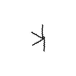 CCCCCCCCCCCc1ccc(CCCCCCCCCCC)c(CCCCCCCCCCC)c1CCCCCCCCCCC